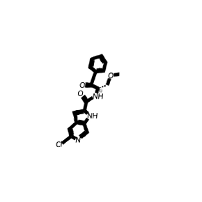 COC[C@H](NC(=O)c1cc2cc(Cl)ncc2[nH]1)C(=O)c1ccccc1